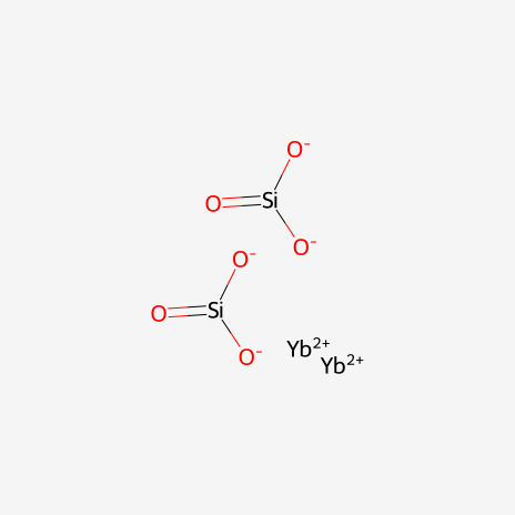 O=[Si]([O-])[O-].O=[Si]([O-])[O-].[Yb+2].[Yb+2]